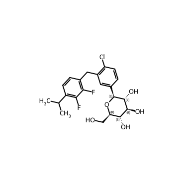 CC(C)c1ccc(Cc2cc([C@@H]3O[C@H](CO)[C@@H](O)[C@H](O)[C@H]3O)ccc2Cl)c(F)c1F